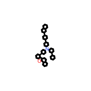 c1ccc(-c2cccc(N(c3ccc(-c4ccc(-c5ccc6ccccc6c5)cc4)cc3)c3ccc(-c4cccc5oc6c7ccccc7ccc6c45)cc3)c2)cc1